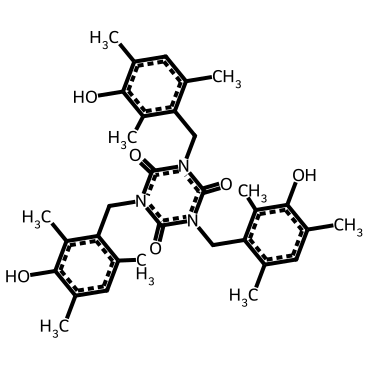 Cc1cc(C)c(Cn2c(=O)n(Cc3c(C)cc(C)c(O)c3C)c(=O)n(Cc3c(C)cc(C)c(O)c3C)c2=O)c(C)c1O